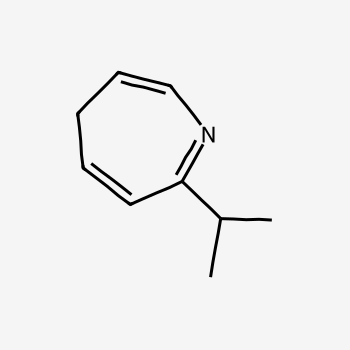 CC(C)C1=NC=CCC=C1